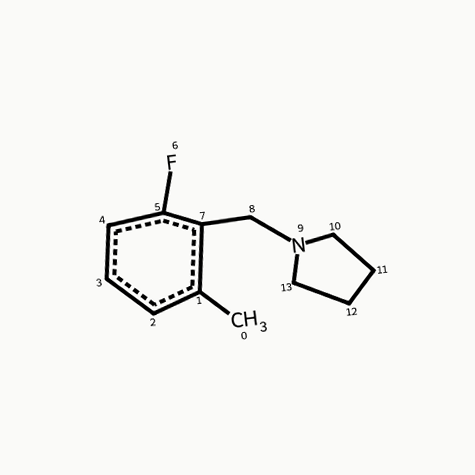 Cc1cccc(F)c1CN1CCCC1